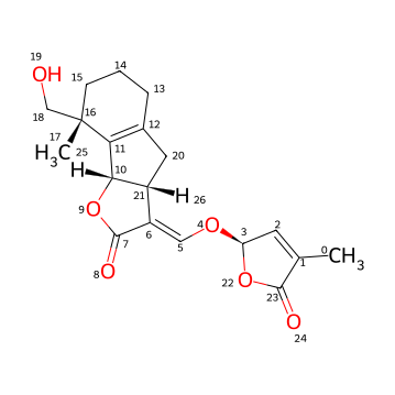 CC1=C[C@H](O/C=C2/C(=O)O[C@@H]3C4=C(CCC[C@@]4(C)CO)C[C@H]23)OC1=O